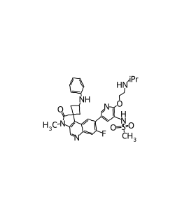 CC(C)NCCOc1ncc(-c2cc3c4c(cnc3cc2F)N(C)C(=O)C42CC(Nc3ccccc3)C2)cc1NS(C)(=O)=O